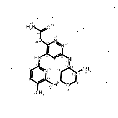 Cc1ccc(Nc2cc(N[C@@H]3CCOC[C@@H]3N)nnc2OC(N)=O)nc1C(C)C